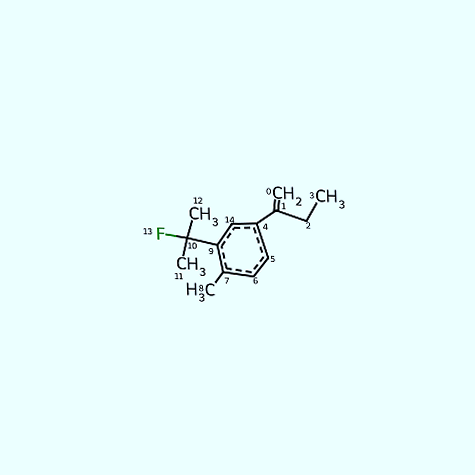 C=C(CC)c1ccc(C)c(C(C)(C)F)c1